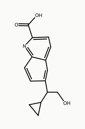 O=C(O)c1ccc2cc(C(CO)C3CC3)ccc2n1